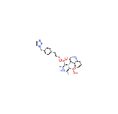 COC(=O)C1=C(C)NC(C)=C(C(=O)OCC=Cc2ccc(Cn3ccnc3)cc2)C1c1ccnc2ccccc12